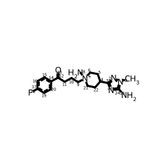 Cn1nc(C2CC[N+](N)(CCCC(=O)c3ccc(F)cc3)CC2)nc1N